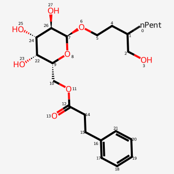 CCCCCC(CO)CCO[C@H]1O[C@H](COC(=O)CCc2ccccc2)[C@H](O)[C@H](O)[C@H]1O